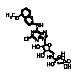 COc1cccc2cc(Nc3nc(Cl)nc4c3ncn4C3OC(CNP(=O)(O)CP(=O)(O)O)C(O)C3O)ccc12